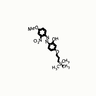 COc1ccc(N=Nc2ccc(OCCC[Si](C)(C)C)cc2O)c([N+](=O)[O-])c1